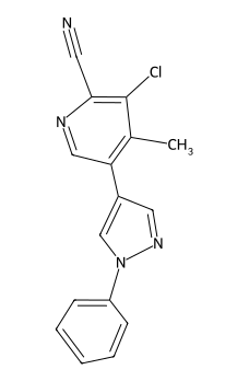 Cc1c(-c2cnn(-c3ccccc3)c2)cnc(C#N)c1Cl